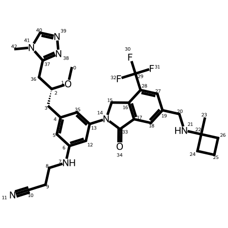 CO[C@H](Cc1cc(NCCC#N)cc(N2Cc3c(cc(CNC4(C)CCC4)cc3C(F)(F)F)C2=O)c1)Cc1nncn1C